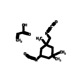 C=CC(=O)O.CC1(C)CC(N=C=O)CC(C)(CN=C=O)C1